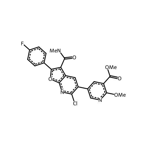 CNC(=O)c1c(-c2ccc(F)cc2)oc2nc(Cl)c(-c3cnc(OC)c(C(=O)OC)c3)cc12